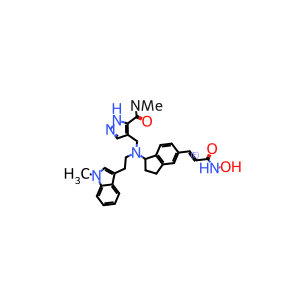 CNC(=O)c1[nH]ncc1CN(CCc1cn(C)c2ccccc12)C1CCc2cc(/C=C/C(=O)NO)ccc21